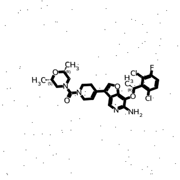 C[C@@H]1CN(C(=O)N2CC=C(c3coc4c(O[C@H](C)c5c(Cl)ccc(F)c5Cl)c(N)ncc34)CC2)C[C@H](C)O1